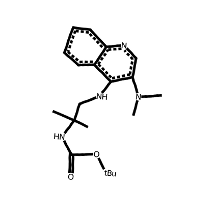 CN(C)c1cnc2ccccc2c1NCC(C)(C)NC(=O)OC(C)(C)C